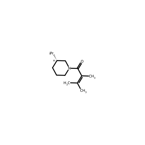 CC(C)=C(C)C(=O)N1CCC[C@H](C(C)C)C1